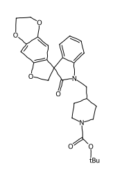 CC(C)(C)OC(=O)N1CCC(CN2C(=O)C3(COc4cc5c(cc43)OCCO5)c3ccccc32)CC1